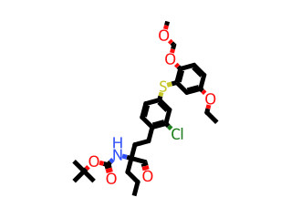 CCCC(C=O)(CCc1ccc(Sc2cc(OCC)ccc2OCOC)cc1Cl)NC(=O)OC(C)(C)C